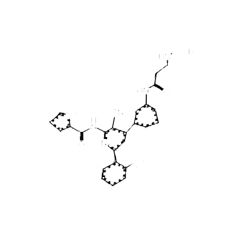 N#Cc1c(-c2cccc(NC(=O)CCNC(=O)O)c2)cc(-c2ccccc2O)nc1NC(=O)c1cccs1